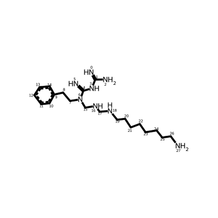 N=C(N)NC(=N)N(CCc1ccccc1)CNCNCCCCCCCCN